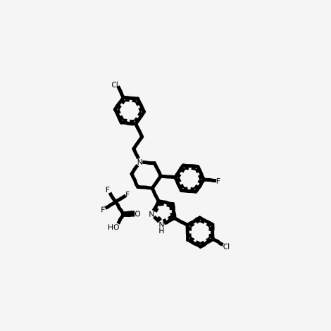 Fc1ccc(C2CN(CCc3ccc(Cl)cc3)CCC2c2cc(-c3ccc(Cl)cc3)[nH]n2)cc1.O=C(O)C(F)(F)F